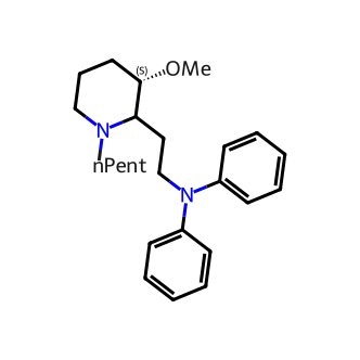 CCCCCN1CCC[C@H](OC)C1CCN(c1ccccc1)c1ccccc1